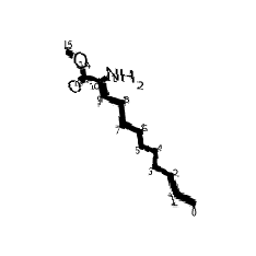 CCCCCCCCCC=C(N)C(=O)OC